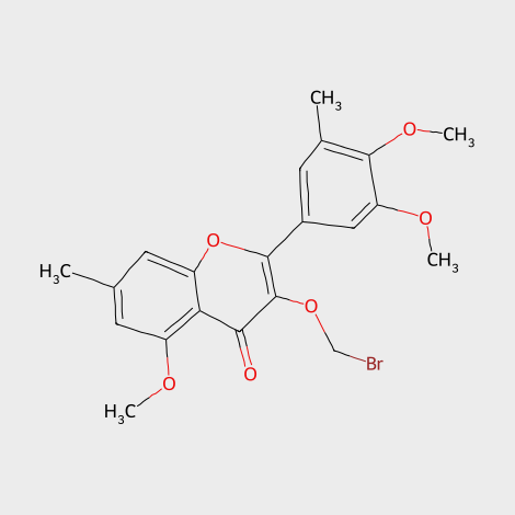 COc1cc(-c2oc3cc(C)cc(OC)c3c(=O)c2OCBr)cc(C)c1OC